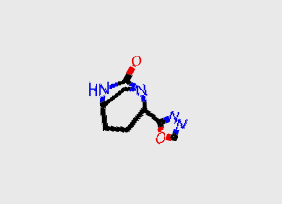 O=C1NC2CCC(c3nnco3)N1C2